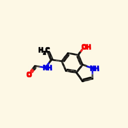 C=C(NC=O)c1cc(O)c2[nH]ccc2c1